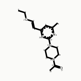 CCOC=Cc1cc(C)nc(N2CCN(C(C)=O)CC2)n1